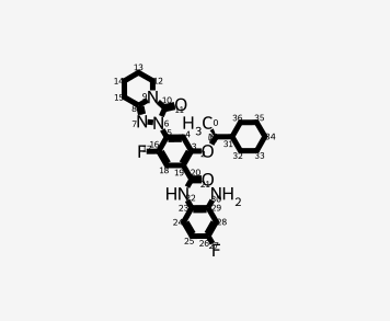 C[C@H](Oc1cc(-n2nc3n(c2=O)CCCC3)c(F)cc1C(=O)Nc1ccc(F)cc1N)C1CCCCC1